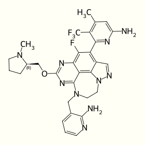 Cc1cc(N)nc(-c2c(F)c3nc(OC[C@H]4CCCN4C)nc4c3c3c2cnn3CCN4Cc2cccnc2N)c1C(F)(F)F